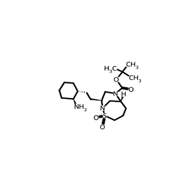 CC(C)(C)OC(=O)N1C[C@H](CC[C@H]2CCCC[C@@H]2N)N2C[C@H]1CCCS2(=O)=O